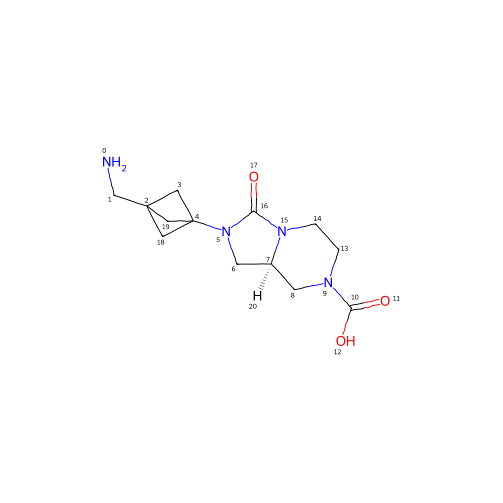 NCC12CC(N3C[C@@H]4CN(C(=O)O)CCN4C3=O)(C1)C2